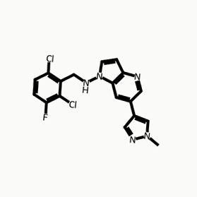 Cn1cc(-c2cnc3ccn(NCc4c(Cl)ccc(F)c4Cl)c3c2)cn1